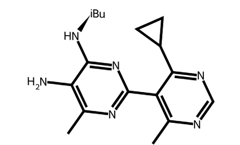 CC[C@H](C)Nc1nc(-c2c(C)ncnc2C2CC2)nc(C)c1N